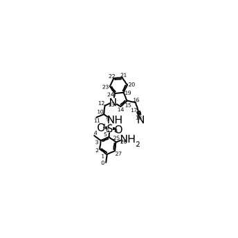 Cc1cc(C)c(S(=O)(=O)NC(C)Cn2cc(CC#N)c3ccccc32)c(N)c1